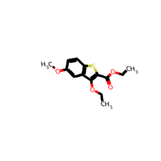 CCOC(=O)c1sc2ccc(OC)cc2c1OCC